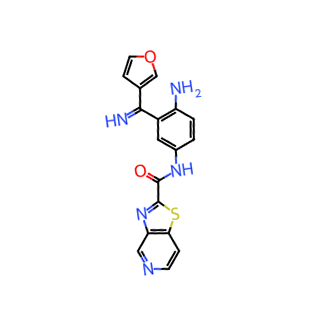 N=C(c1ccoc1)c1cc(NC(=O)c2nc3cnccc3s2)ccc1N